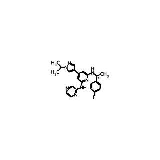 CC(C)n1cc(-c2cc(Nc3cnccn3)nc(N[C@@H](C)c3ccc(F)cc3)c2)cn1